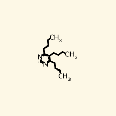 CCCCc1n[c]nc(CCCC)c1CCCC